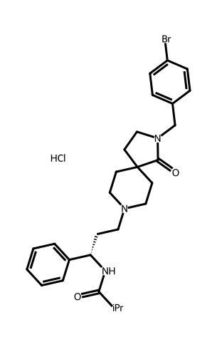 CC(C)C(=O)N[C@@H](CCN1CCC2(CC1)CCN(Cc1ccc(Br)cc1)C2=O)c1ccccc1.Cl